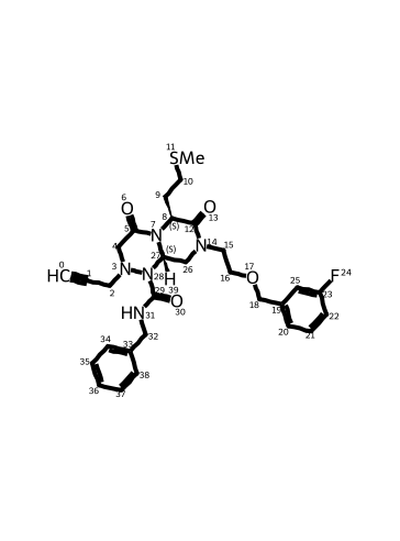 C#CCN1CC(=O)N2[C@@H](CCSC)C(=O)N(CCOCc3cccc(F)c3)C[C@@H]2N1C(=O)NCc1ccccc1